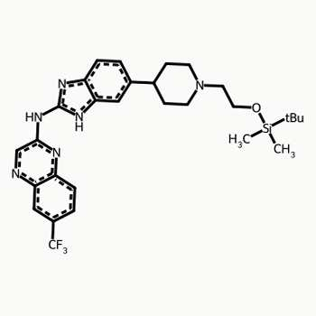 CC(C)(C)[Si](C)(C)OCCN1CCC(c2ccc3nc(Nc4cnc5cc(C(F)(F)F)ccc5n4)[nH]c3c2)CC1